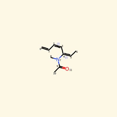 C=C/C=C\C(=C/C)N(C)C(C)=O